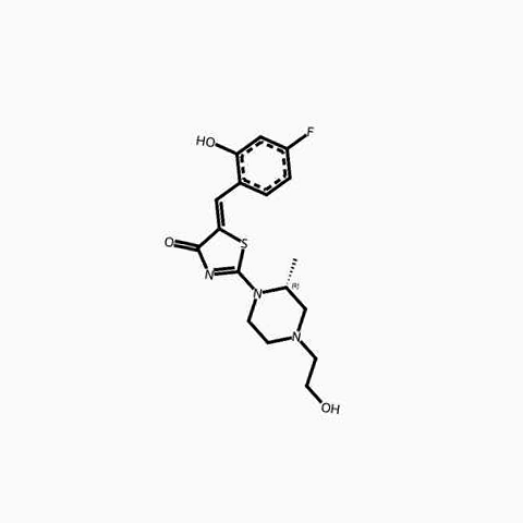 C[C@@H]1CN(CCO)CCN1C1=NC(=O)C(=Cc2ccc(F)cc2O)S1